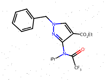 CCOC(=O)c1cn(Cc2ccccc2)nc1N(C(=O)C(F)(F)F)C(C)C